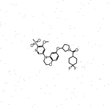 COc1cc(N2CCOc3ccc(OC4CCN(C(=O)C5CCC(F)(F)CC5)C4)cc32)cnc1S(C)(=O)=O